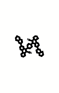 N#Cc1c(-c2ccc(-c3c(C#N)c4ccccc4c4ccc(-c5ccc6ccccc6c5)cc34)cc2)c2cc(-c3ccc4ccccc4c3)ccc2c2ccccc12